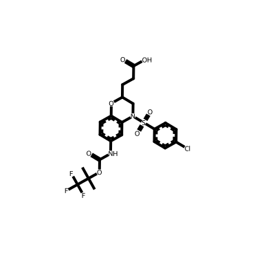 CC(C)(OC(=O)Nc1ccc2c(c1)N(S(=O)(=O)c1ccc(Cl)cc1)CC(CCC(=O)O)O2)C(F)(F)F